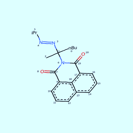 CCCCC(C)(N=NC(C)C)N1C(=O)c2cccc3cccc(c23)C1=O